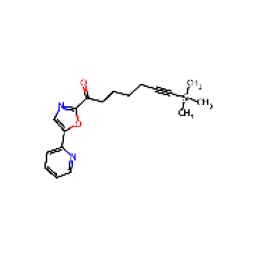 C[Si](C)(C)C#CCCCCC(=O)c1ncc(-c2ccccn2)o1